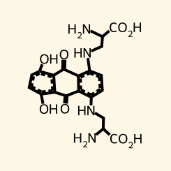 NC(CNc1ccc(NCC(N)C(=O)O)c2c1C(=O)c1c(O)ccc(O)c1C2=O)C(=O)O